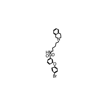 O=S(=O)(NCCCCCN1CCc2ccccc2C1)c1cccc(Oc2ccc(Br)cc2)c1